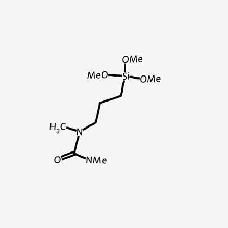 CNC(=O)N(C)CCC[Si](OC)(OC)OC